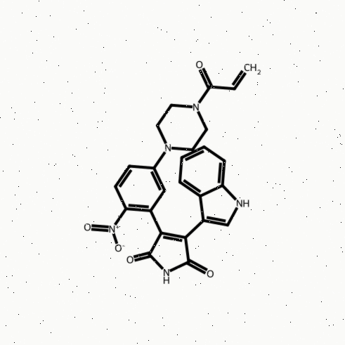 C=CC(=O)N1CCN(c2ccc([N+](=O)[O-])c(C3=C(c4c[nH]c5ccccc45)C(=O)NC3=O)c2)CC1